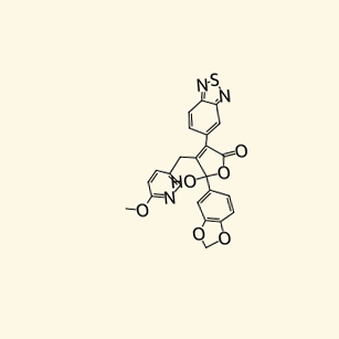 COc1ccc(CC2=C(c3ccc4nsnc4c3)C(=O)OC2(O)c2ccc3c(c2)OCO3)cn1